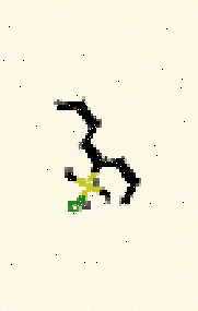 C\C=C/C=C(\C=C/C)S(C)(C)Cl